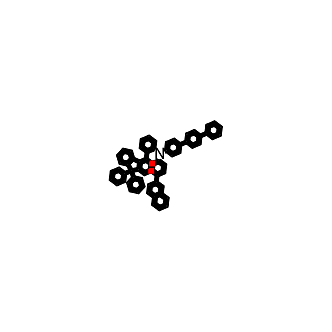 c1ccc(-c2ccc(-c3ccc(N(c4ccc(-c5ccc6ccccc6c5)cc4)c4ccccc4-c4cccc5c4-c4ccccc4C5(c4ccccc4)c4ccccc4)cc3)cc2)cc1